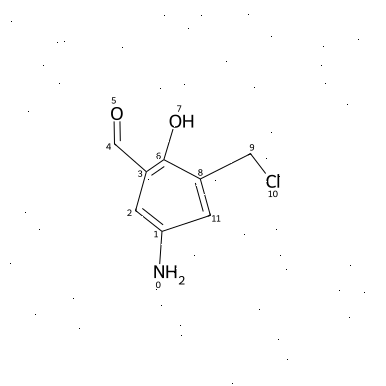 Nc1cc(C=O)c(O)c(CCl)c1